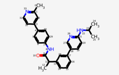 Cc1cc(-c2ccc(NC(=O)C(C)c3cccc(-c4ccc(NC(C)C)nc4)c3)cc2)ccn1